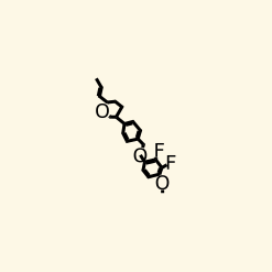 C/C=C/C1CCC(c2ccc(COc3ccc(OC)c(F)c3F)cc2)CO1